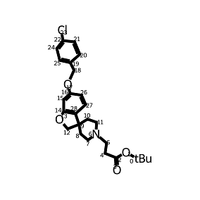 CC(C)(C)OC(=O)CCN1CCC2(CC1)COc1cc(OCc3ccc(Cl)cc3)ccc12